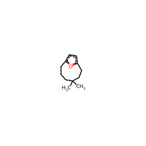 CC1(C)CCCc2ccc(o2)CC1